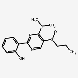 CCC[S+]([O-])c1cnc(-c2ccccc2O)nc1N(C)C